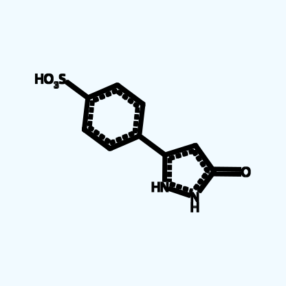 O=c1cc(-c2ccc(S(=O)(=O)O)cc2)[nH][nH]1